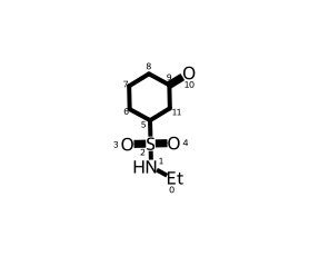 CCNS(=O)(=O)C1CCCC(=O)C1